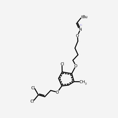 Cc1cc(OCC=C(Cl)Cl)cc(Cl)c1OCCCCO/N=C/C(C)(C)C